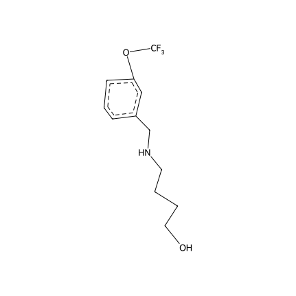 OCCCCNCc1cccc(OC(F)(F)F)c1